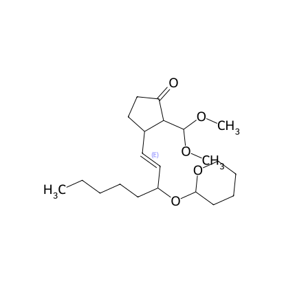 CCCCCC(/C=C/C1CCC(=O)C1C(OC)OC)OC1CCCCO1